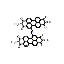 CN1C(=O)c2ccc3c4ccc5c6c(cc(/C=C/c7cc8c9c(ccc%10c%11ccc%12c%13c(ccc(c7c9%10)c%13%11)C(=O)N(C)C%12=O)C(=O)N(C)C8=O)c(c7ccc(c2c37)C1=O)c64)C(=O)N(C)C5=O